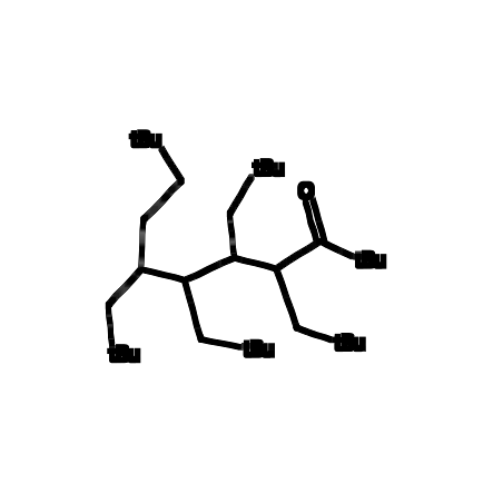 CC(C)(C)CCC(CC(C)(C)C)C(CC(C)(C)C)C(CC(C)(C)C)C(CC(C)(C)C)C(=O)C(C)(C)C